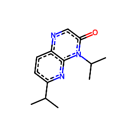 CC(C)c1ccc2ncc(=O)n(C(C)C)c2n1